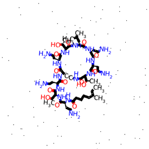 CC[C@H](C)CCCCC(=O)N[C@@H](CCN)C(=O)N[C@H](C(=O)N[C@@H](CCN)C(=O)N[C@H]1CCNC(=O)[C@H]([C@@H](C)O)NC(=O)[C@H](CCN)NC(=O)[C@H](CCN)NC(=O)[C@H](CC(C)C)NC(=O)[C@H]([C@@H](C)O)NC(=O)[C@H](CCN)NC1=O)[C@@H](C)O